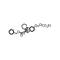 CCOC(=O)OCOc1ccc2c(c1)[C@@]13CCCC[C@H]1[C@@H](C2)N(C(=O)OCc1ccccc1)CC3